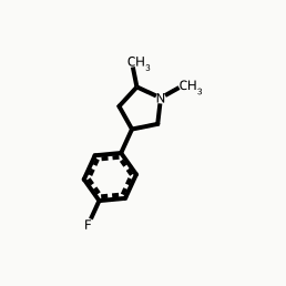 CC1CC(c2ccc(F)cc2)CN1C